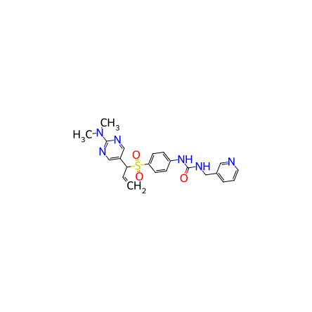 C=CC(c1cnc(N(C)C)nc1)S(=O)(=O)c1ccc(NC(=O)NCc2cccnc2)cc1